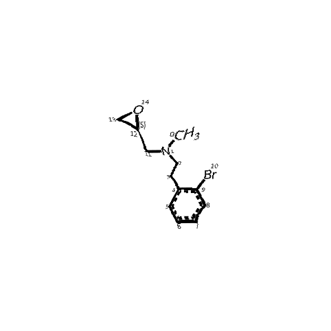 CN(CCc1ccccc1Br)C[C@H]1CO1